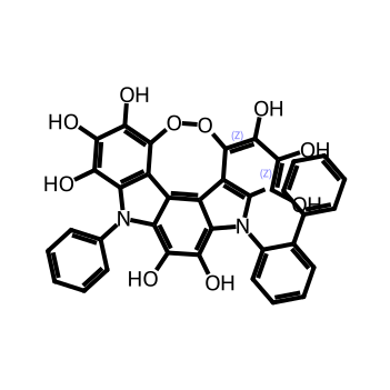 Cc1c2/c(=C(O)\C(O)=C\O)ooc3c(O)c(O)c(O)c4c3c3c2c(c(O)c(O)c3n4-c2ccccc2)n1-c1ccccc1-c1ccccc1